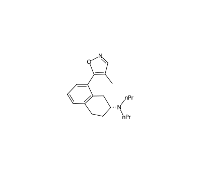 CCCN(CCC)[C@@H]1CCc2cccc(-c3oncc3C)c2C1